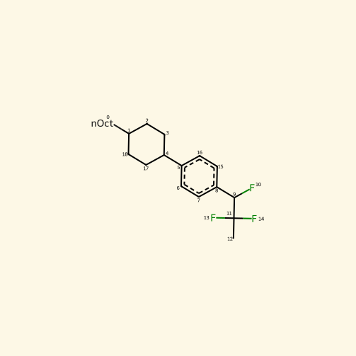 CCCCCCCCC1CCC(c2ccc(C(F)C(C)(F)F)cc2)CC1